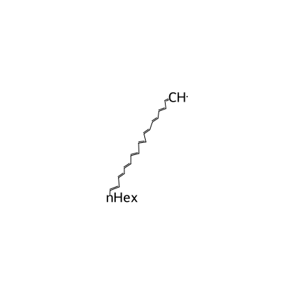 [CH]=C/C=C/C=C/C=C/C=C/C=C/C=C/C=C/C=C/CCCCCC